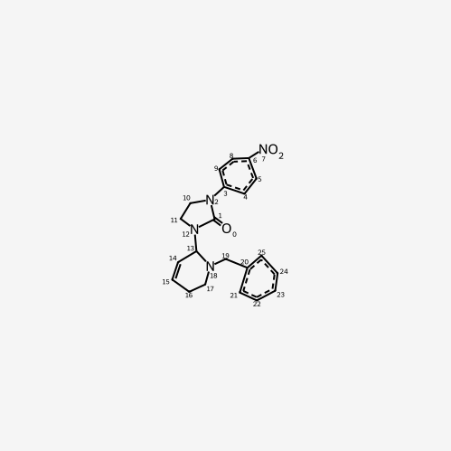 O=C1N(c2ccc([N+](=O)[O-])cc2)CCN1C1C=CCCN1Cc1ccccc1